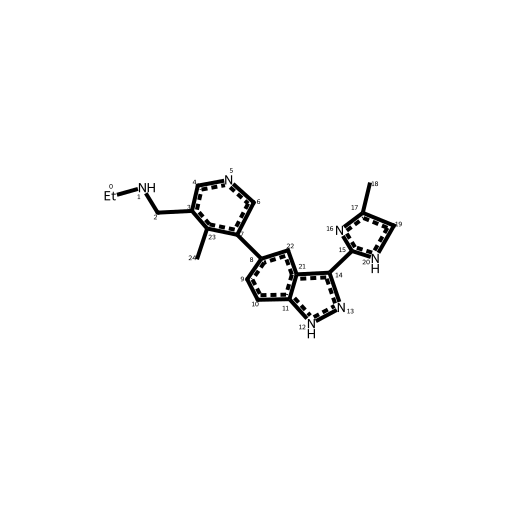 CCNCc1cncc(-c2ccc3[nH]nc(-c4nc(C)c[nH]4)c3c2)c1C